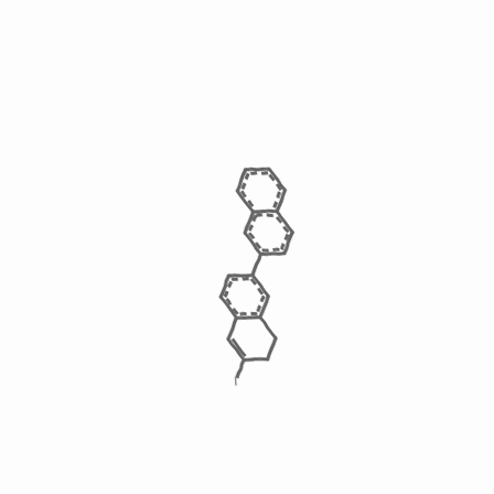 IC1=Cc2ccc(-c3ccc4ccccc4c3)cc2CC1